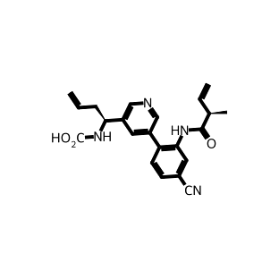 C=CC[C@H](NC(=O)O)c1cncc(-c2ccc(C#N)cc2NC(=O)[C@H](C)C=C)c1